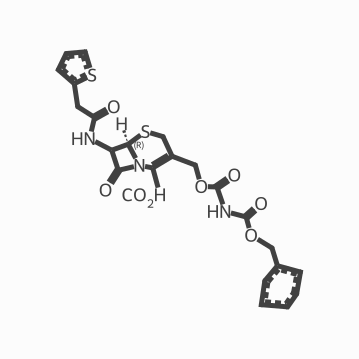 O=C(Cc1cccs1)NC1C(=O)N2C(C(=O)O)=C(COC(=O)NC(=O)OCc3ccccc3)CS[C@H]12